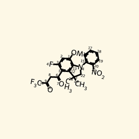 COc1cc(F)c(C(=O)CC(=O)C(F)(F)F)c2c1N(c1ccccc1[N+](=O)[O-])CC2(C)C